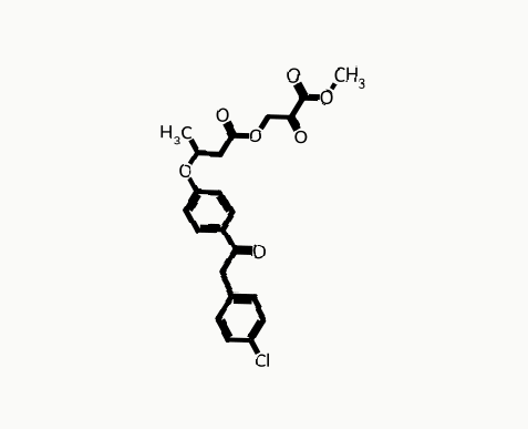 COC(=O)C(=O)COC(=O)CC(C)Oc1ccc(C(=O)Cc2ccc(Cl)cc2)cc1